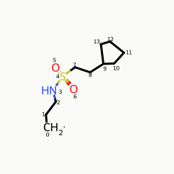 [CH2]CCNS(=O)(=O)CCC1CCCC1